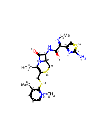 CON=C(C(=O)NC1C(=O)N2C(C(=O)O)=C(CSc3c(OC)ccc[n+]3C)SCC12)c1csc(N)n1